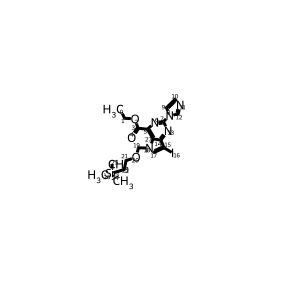 CCOC(=O)c1nc(-n2ccnc2)nc2c(I)cn(COCC[Si](C)(C)C)c12